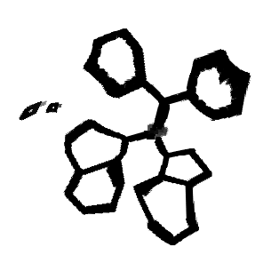 C1=CCC2CC[CH]([Zr+2](=[C](c3ccccc3)c3ccccc3)[CH]3CCC4CC=CC=C43)C2=C1.[Cl-].[Cl-]